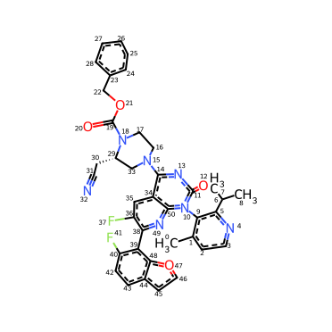 Cc1ccnc(C(C)C)c1-n1c(=O)nc(N2CCN(C(=O)OCc3ccccc3)[C@@H](CC#N)C2)c2cc(F)c(-c3c(F)ccc4ccoc34)nc21